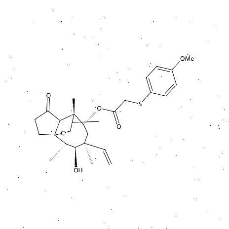 C=C[C@]1(C)C[C@@H](OC(=O)CSc2ccc(OC)cc2)[C@]2(C)C(C)CCC3(CCC(=O)C32)[C@@H](C)[C@@H]1O